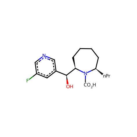 CCC[C@@H]1CCCC[C@H]([C@@H](O)c2cncc(F)c2)N1C(=O)O